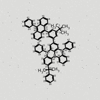 CC(C)(C)c1cc(-c2cc3c4c(c2)N(c2ccccc2)c2ccc(C(C)(C)c5ccccc5)cc2B4c2ccccc2N3c2ccccc2)cc(-c2c3ccccc3c(-c3ccccc3)c3ccccc23)c1